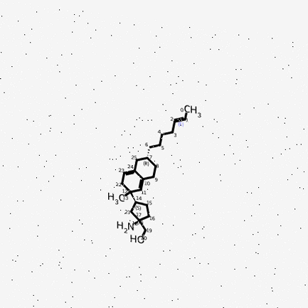 C/C=C/CCCC[C@@H]1CCC2=CC(C)([C@H]3CC[C@](N)(CO)C3)CC=C2C1